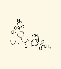 Cc1nc(S(C)(=O)=O)cnc1NC(=O)[C@H](CC1CCCC1)c1ccc(S(C)(=O)=O)c(Cl)c1